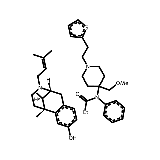 CC(C)=CCN1CC[C@@]2(C)c3cc(O)ccc3C[C@@H]1[C@@H]2C.CCC(=O)N(c1ccccc1)C1(COC)CCN(CCc2cccs2)CC1